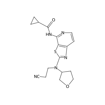 N#CCCN(c1nc2ccnc(NC(=O)C3CC3)c2s1)C1CCOC1